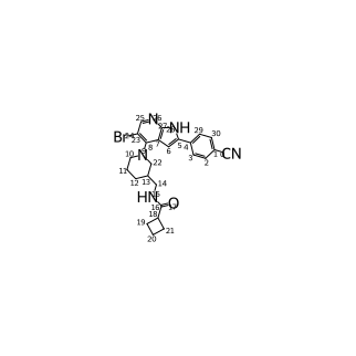 N#Cc1ccc(-c2cc3c(N4CCCC(CNC(=O)C5CCC5)C4)c(Br)cnc3[nH]2)cc1